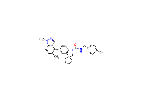 Cc1ccc(CNC(=O)N2CC3(CCCC3)c3cc(-c4c(C)ccc5c4cnn5C)ccc32)cc1